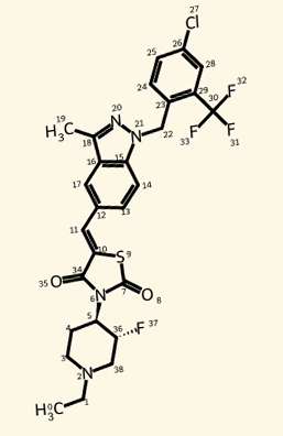 CCN1CC[C@@H](N2C(=O)S/C(=C\c3ccc4c(c3)c(C)nn4Cc3ccc(Cl)cc3C(F)(F)F)C2=O)[C@H](F)C1